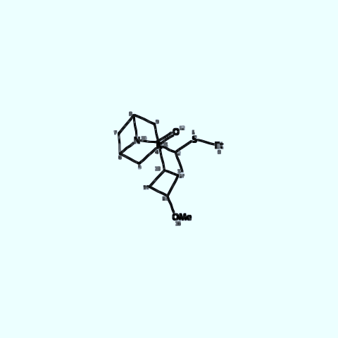 CCSC(C)N1CC2CC(C1)N2C(=O)C1CC(OC)C1